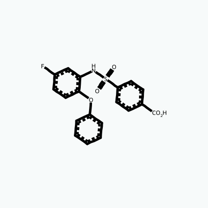 O=C(O)c1ccc(S(=O)(=O)Nc2cc(F)ccc2Oc2ccccc2)cc1